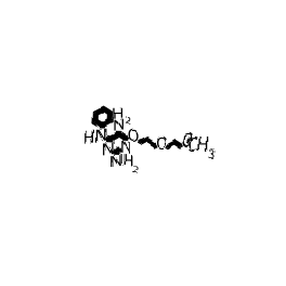 COCCCOCCCOc1nc(N)nc(Nc2ccccc2)c1N